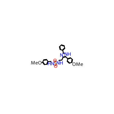 COc1ccc(CNS(=O)(=O)NCCc2nc(-c3ccccc3)[nH]c2-c2ccc(OC)cc2)cc1